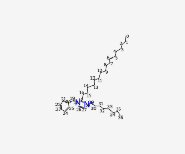 CCCCCCCCCCCCCCCCCc1n(Cc2ccccc2)cc[n+]1CCCCCCCC